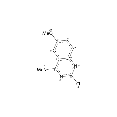 CNc1nc(Cl)nc2ccc(OC)cc12